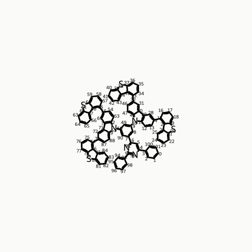 c1ccc(-c2cc(-c3cc(-n4c5ccc(-c6cccc7sc8ccccc8c67)cc5c5cc(-c6cccc7sc8ccccc8c67)ccc54)cc(-n4c5ccc(-c6cccc7sc8ccccc8c67)cc5c5cc(-c6cccc7sc8ccccc8c67)ccc54)c3)nc(-c3ccccc3)n2)cc1